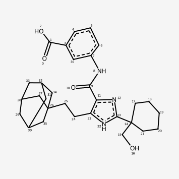 O=C(O)c1cccc(NC(=O)c2nc(C3(CO)CCCCC3)[nH]c2CCC23CC4CC(CC(C4)C2)C3)c1